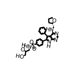 O=S(=O)(NCC(O)CO)c1ccc(-c2[nH]c3ncnc(NC[C@@H]4CCCO4)c3c2-c2ccccc2)cc1